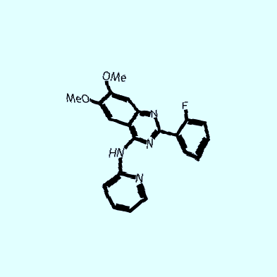 COc1cc2nc(-c3ccccc3F)nc(Nc3ccccn3)c2cc1OC